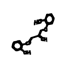 Oc1ccccc1OCC(O)COc1ccccc1O